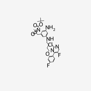 CC(C)(C)OC(=O)N=S(C)(=O)Cc1cc(N)cc(NCCCCOc2cc(F)ccc2-c2nc(Cl)ncc2F)c1